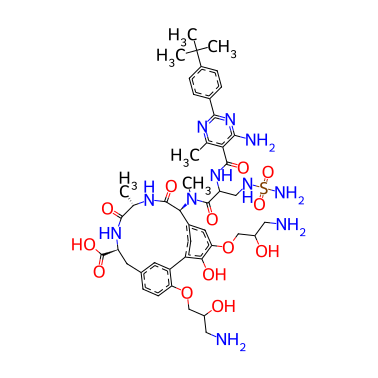 Cc1nc(-c2ccc(C(C)(C)C)cc2)nc(N)c1C(=O)NC(CNS(N)(=O)=O)C(=O)N(C)[C@@H]1C(=O)N[C@@H](C)C(=O)N[C@H](C(=O)O)Cc2ccc(OCC(O)CN)c(c2)-c2cc1cc(OCC(O)CN)c2O